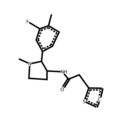 Cc1ccc(C2C(NC(=O)Cc3cccs3)CCN2C)cc1F